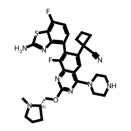 CN1CCC[C@H]1COc1nc(N2CCNCC2)c2cc(C3(C#N)CCC3)c(-c3ccc(F)c4sc(N)nc34)c(F)c2n1